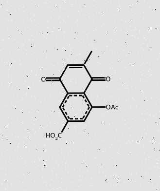 CC(=O)Oc1cc(C(=O)O)cc2c1C(=O)C(C)=CC2=O